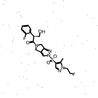 Cc1c(S(=O)(=O)n2cc3c(n2)CN(C(=O)[C@H](CO)c2ccccc2F)C3)cnn1CCF